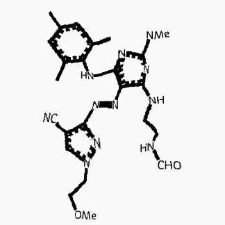 CNc1nc(NCCNC=O)c(N=Nc2nn(CCOC)cc2C#N)c(Nc2c(C)cc(C)cc2C)n1